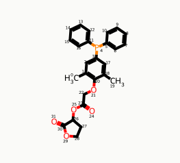 Cc1cc(P(c2ccccc2)c2ccccc2)cc(C)c1OCC(=O)OC1CCOC1=O